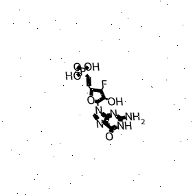 Nc1nc2c(ncn2[C@@H]2O[C@H](/C=C/P(=O)(O)O)[C@H](F)[C@H]2O)c(=O)[nH]1